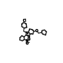 O=[N+]([O-])c1ccccc1-c1nc2cc(OCc3ccccc3)ccc2n1Cc1ccc(Cl)cc1